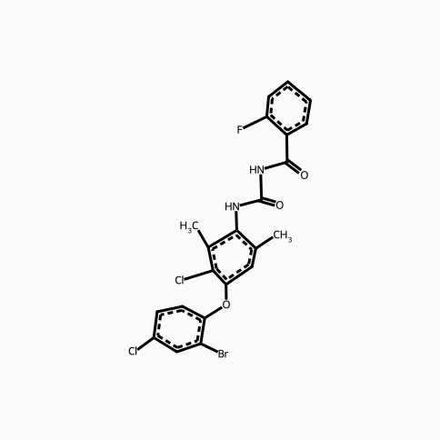 Cc1cc(Oc2ccc(Cl)cc2Br)c(Cl)c(C)c1NC(=O)NC(=O)c1ccccc1F